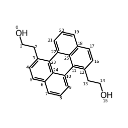 OCCc1ccc2cccc3c4c(CCO)ccc5cccc(c1c23)c54